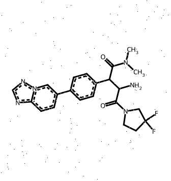 CN(C)C(=O)C(c1ccc(-c2ccc3ncnn3c2)cc1)C(N)C(=O)N1CCC(F)(F)C1